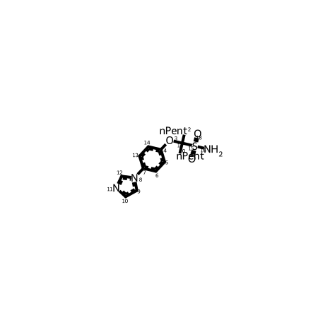 CCCCCC(CCCCC)(Oc1ccc(-n2ccnc2)cc1)S(N)(=O)=O